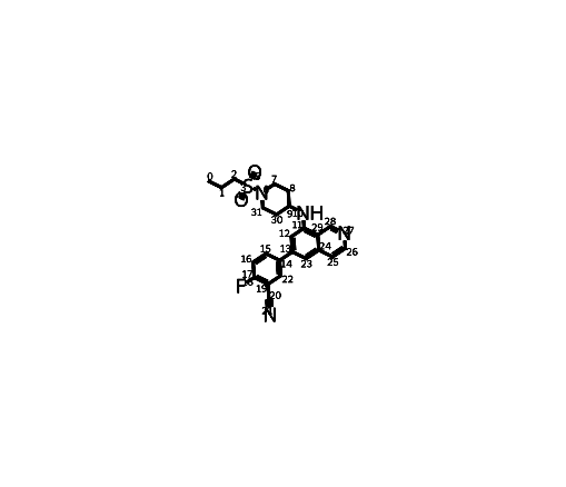 CCCS(=O)(=O)N1CCC(Nc2cc(-c3ccc(F)c(C#N)c3)cc3ccncc23)CC1